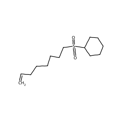 C=CCCCCCCS(=O)(=O)C1CCCCC1